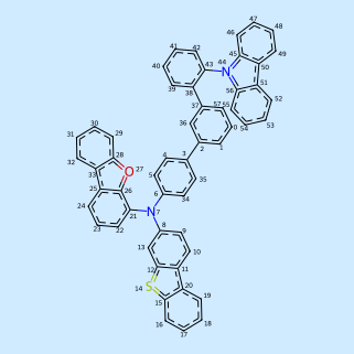 c1cc(-c2ccc(N(c3ccc4c(c3)sc3ccccc34)c3cccc4c3oc3ccccc34)cc2)cc(-c2ccccc2-n2c3ccccc3c3ccccc32)c1